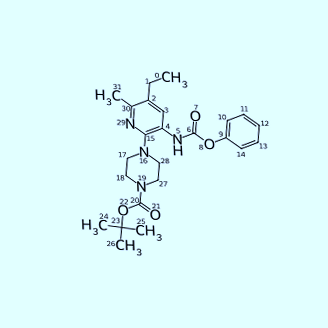 CCc1cc(NC(=O)Oc2ccccc2)c(N2CCN(C(=O)OC(C)(C)C)CC2)nc1C